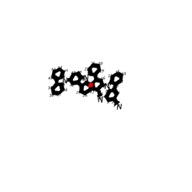 N#Cc1ccc2c(c1)c1ccccc1n2-c1cc(-c2ccccc2-n2c3ccccc3c3cc(-n4c5ccccc5c5ccccc54)ccc32)ccc1C#N